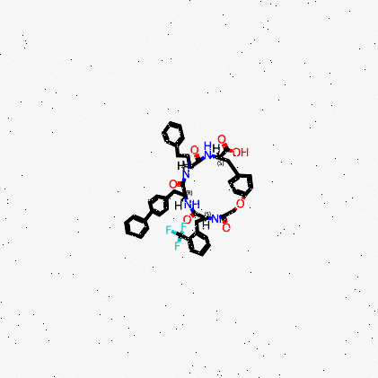 O=C1COc2ccc(cc2)C[C@@H](C(=O)O)NC(=O)[C@H](CCc2ccccc2)NC(=O)[C@@H](Cc2ccc(-c3ccccc3)cc2)NC(=O)[C@H](Cc2ccccc2C(F)(F)F)N1